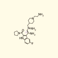 NCCN1CCC(CN(N)/C=C(\N)c2c(C(=O)N3CCCC3)[nH]c3ccc(F)cc23)CC1